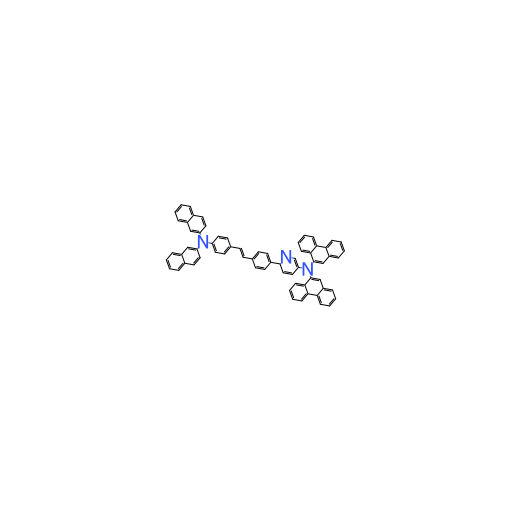 C(=C\c1ccc(N(c2ccc3ccccc3c2)c2ccc3ccccc3c2)cc1)/c1ccc(-c2ccc(N(c3cc4ccccc4c4ccccc34)c3cc4ccccc4c4ccccc34)cn2)cc1